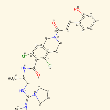 N#C/N=C(\NCC(NC(=O)c1c(Cl)cc2c(c1Cl)CCN(C(=O)/C=C/c1ccccc1O)C2)C(=O)O)N1CCCC1